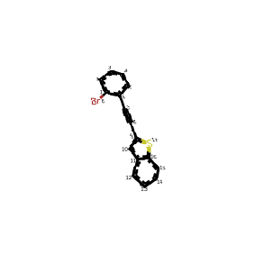 Brc1ccccc1C#Cc1cc2ccccc2s1